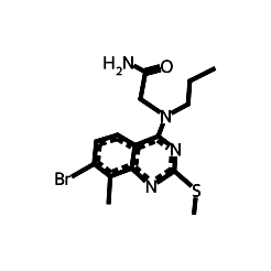 CCCN(CC(N)=O)c1nc(SC)nc2c(C)c(Br)ccc12